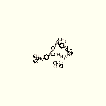 CCN(CCOCCN(CC)c1ccc(N=Nc2scc[n+]2C)cc1)c1ccc(N=Nc2scc[n+]2C)cc1.[Cl][Zn-2]([Cl])([Cl])[Cl]